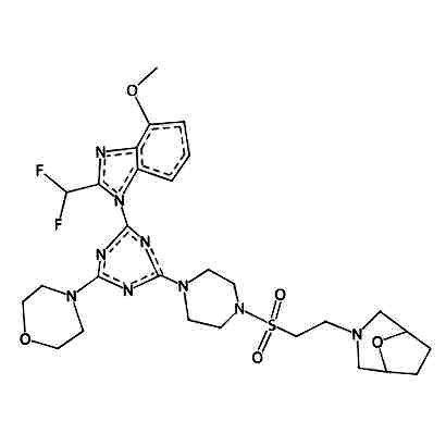 COc1cccc2c1nc(C(F)F)n2-c1nc(N2CCOCC2)nc(N2CCN(S(=O)(=O)CCN3CC4CCC(C3)O4)CC2)n1